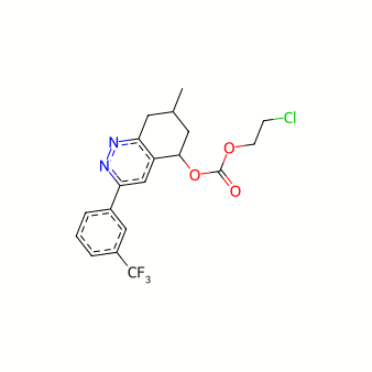 CC1Cc2nnc(-c3cccc(C(F)(F)F)c3)cc2C(OC(=O)OCCCl)C1